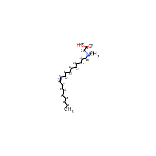 CCCCCCCC/C=C\CCCCCCCCCN(C)CC(=O)O